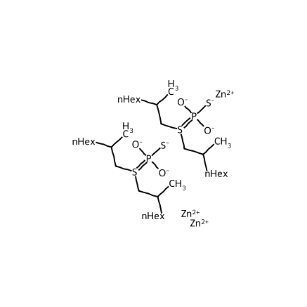 CCCCCCC(C)CS(CC(C)CCCCCC)=P([O-])([O-])[S-].CCCCCCC(C)CS(CC(C)CCCCCC)=P([O-])([O-])[S-].[Zn+2].[Zn+2].[Zn+2]